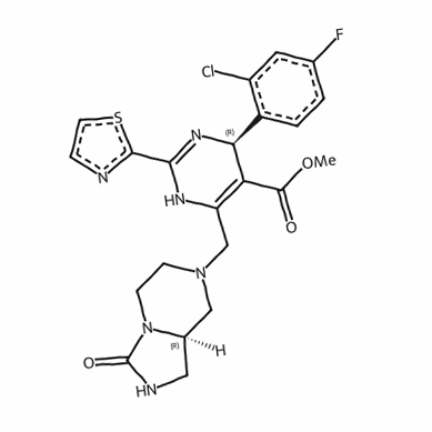 COC(=O)C1=C(CN2CCN3C(=O)NC[C@@H]3C2)NC(c2nccs2)=N[C@H]1c1ccc(F)cc1Cl